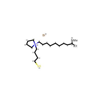 CCC(CCCCCCCC[N+]1(CCCCS)CCCC1)NC.[Br-]